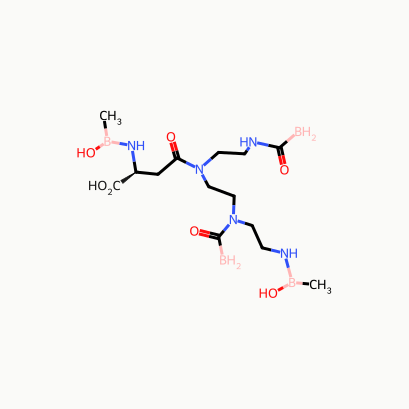 BC(=O)NCCN(CCN(CCNB(C)O)C(B)=O)C(=O)C[C@H](NB(C)O)C(=O)O